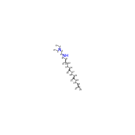 CCN(CC)CCNC/C=C(\C)CC/C=C(\C)CC/C=C(\C)CCC=C(C)C